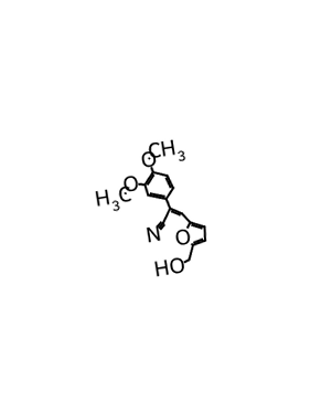 COc1ccc(/C(C#N)=C/c2ccc(CO)o2)cc1OC